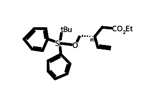 C=C[C@H](CO[Si](c1ccccc1)(c1ccccc1)C(C)(C)C)CC(=O)OCC